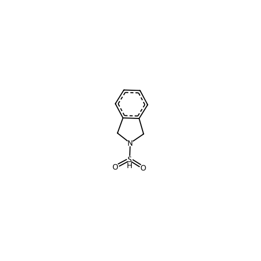 O=[SH](=O)N1Cc2ccccc2C1